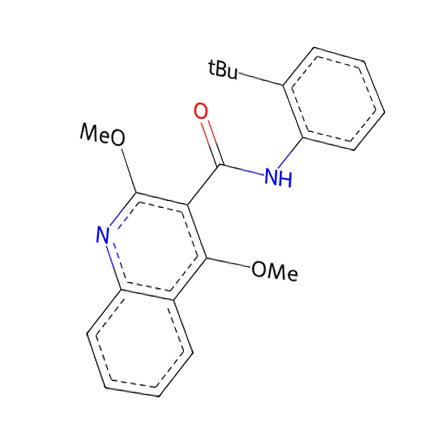 COc1nc2ccccc2c(OC)c1C(=O)Nc1ccccc1C(C)(C)C